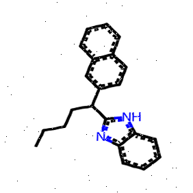 CCCCC(c1ccc2ccccc2c1)c1nc2ccccc2[nH]1